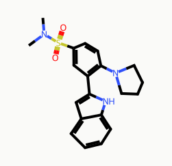 CN(C)S(=O)(=O)c1ccc(N2CCCC2)c(-c2cc3ccccc3[nH]2)c1